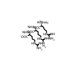 CC(=O)N[C@@H](CCCNC(=N)N)C(=O)[O-].CC(=O)N[C@@H](CCCNC(=N)N)C(=O)[O-].CC(=O)N[C@@H](CCCNC(=N)N)C(=O)[O-].[Al+3]